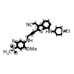 CCN1CCC(Nc2cccc3c(CC#N)c(C#CCNc4cc(F)c(S(C)(=O)=O)cc4OC)sc23)CC1